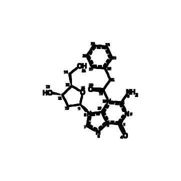 Nc1nc(=O)c2ncn([C@H]3C[C@H](O)[C@@H](CO)O3)c2n1C(=O)Cc1ccccc1